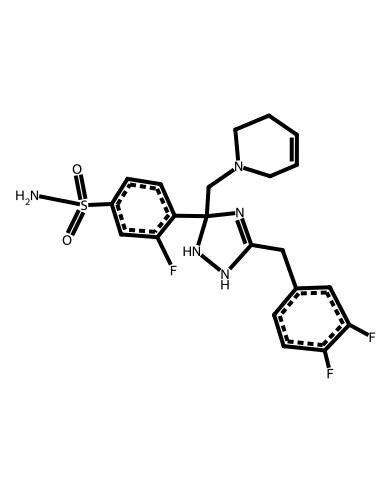 NS(=O)(=O)c1ccc(C2(CN3CC=CCC3)N=C(Cc3ccc(F)c(F)c3)NN2)c(F)c1